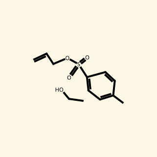 C=CCOS(=O)(=O)c1ccc(C)cc1.CCO